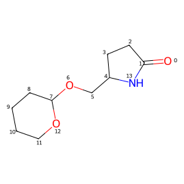 O=C1CCC(COC2CCCCO2)N1